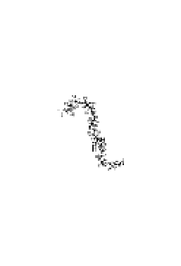 COC(C)(C)C(C)(C)C(C)COC(C)(C)CC(C)(C)C(C)NC(=O)C(=O)NC(C)(C)C(C)COC(C)(C)C(C)(C)CCOC(C)(C)C(C)(C)C(C)COC(C)(C)CC(C)(C)C(C)N